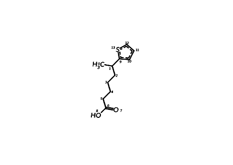 CC(CCCCC(=O)O)c1cccs1